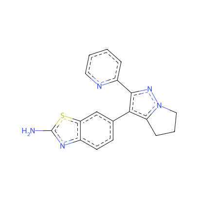 Nc1nc2ccc(-c3c(-c4ccccn4)nn4c3CCC4)cc2s1